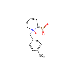 O=[N+]([O-])c1ccc(C[N+]2([O-])C=CC=CC2=S(=O)=O)cc1